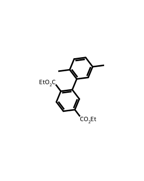 CCOC(=O)c1ccc(C(=O)OCC)c(-c2cc(C)ccc2C)c1